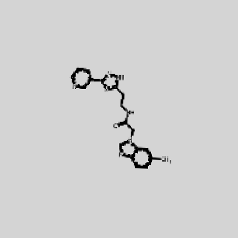 Cc1ccc2ncn(CC(=O)NCCc3nc(-c4cccnc4)n[nH]3)c2c1